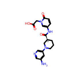 Nc1cncc(N2CCC[C@H](C(=O)Nc3ccc(=O)n(CC(=O)O)c3)C2)c1